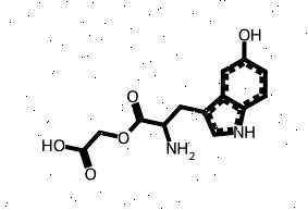 NC(Cc1c[nH]c2ccc(O)cc12)C(=O)OCC(=O)O